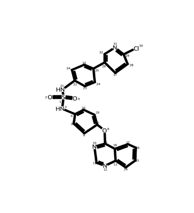 O=S(=O)(Nc1ccc(Oc2ncnc3ccccc23)cc1)Nc1ccc(-c2ccc(Cl)nc2)cc1